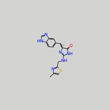 Cc1csc(CNC2=N/C(=C\c3ccc4[nH]cnc4c3)C(=O)N2)n1